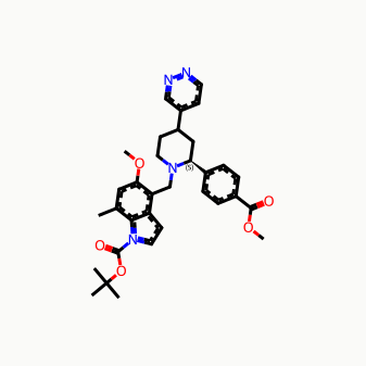 COC(=O)c1ccc([C@@H]2CC(c3ccnnc3)CCN2Cc2c(OC)cc(C)c3c2ccn3C(=O)OC(C)(C)C)cc1